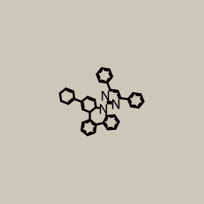 C1=CC(C2=CC3c4ccccc4-c4ccccc4N(c4nc(-c5ccccc5)cc(-c5ccccc5)n4)C3C=C2)=CCC1